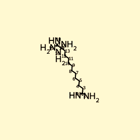 N=C(N)CCCCCCCCCCCC(N)(N)C(=N)N